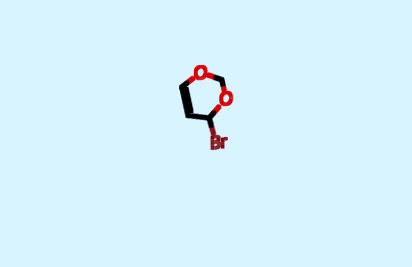 BrC1C=COCO1